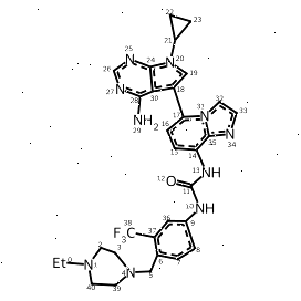 CCN1CCN(Cc2ccc(NC(=O)Nc3ccc(-c4cn(C5CC5)c5ncnc(N)c45)n4ccnc34)cc2C(F)(F)F)CC1